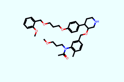 COCCCN(C(C)=O)c1cc(COC2CNCCC2c2ccc(OCCCOCc3ccccc3OC)cc2)ccc1C